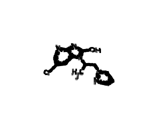 CC(Cn1cccn1)n1c(O)nc2ncc(Cl)cc21